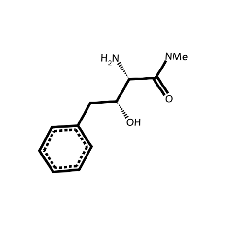 CNC(=O)[C@@H](N)[C@H](O)Cc1ccccc1